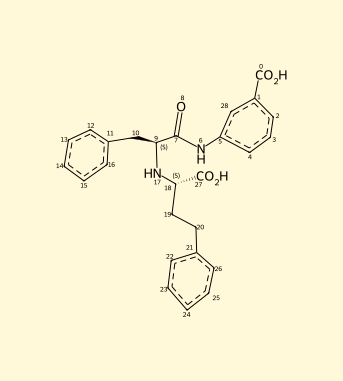 O=C(O)c1cccc(NC(=O)[C@H](Cc2ccccc2)N[C@@H](CCc2ccccc2)C(=O)O)c1